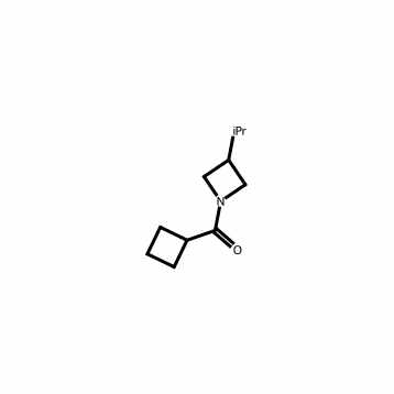 CC(C)C1CN(C(=O)C2CCC2)C1